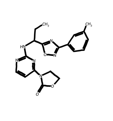 CCC(Nc1nccc(N2CCOC2=O)n1)c1nc(-c2cccc(C)c2)no1